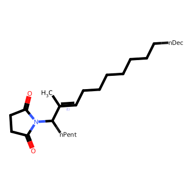 CCCCCCCCCCCCCCCCC/C=C(\C)C(CCCCC)N1C(=O)CCC1=O